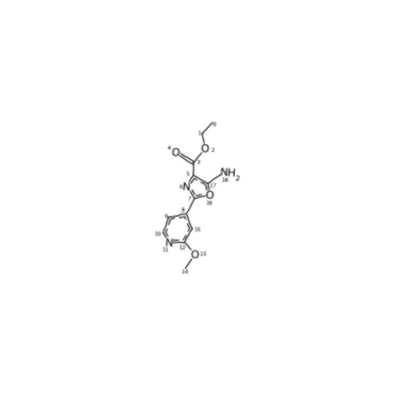 CCOC(=O)c1nc(-c2ccnc(OC)c2)oc1N